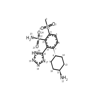 CS(=O)(=O)c1ccc([C@H]2CC[C@H](N)CC2)c(-c2nnn[nH]2)c1S(N)(=O)=O